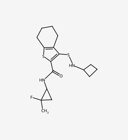 CC1(F)CC1NC(=O)c1sc2c(c1SNC1CCC1)CCCC2